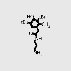 Cc1c(CC(=O)NCCCN)cc(C(C)(C)C)c(O)c1C(C)(C)C